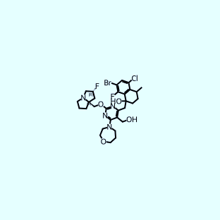 CC1CCC(O)(Cc2nc(OC[C@@]34CCCN3C[C@H](F)C4)nc(N3CCCOCC3)c2CO)c2c(F)c(Br)cc(Cl)c21